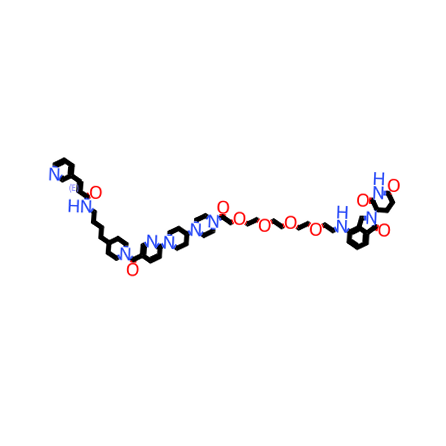 O=C(/C=C/c1cccnc1)NCCCCC1CCN(C(=O)c2ccc(N3CCC(N4CCN(C(=O)COCCOCCOCCOCCNc5cccc6c5CN(C5CCC(=O)NC5=O)C6=O)CC4)CC3)nc2)CC1